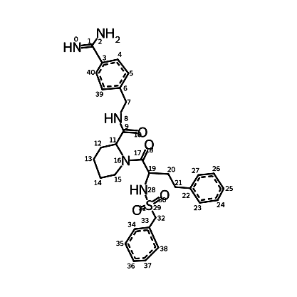 N=C(N)c1ccc(CNC(=O)C2CCCCN2C(=O)C(CCc2ccccc2)NS(=O)(=O)Cc2ccccc2)cc1